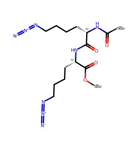 CCCCC(=O)N[C@@H](CCCCN=[N+]=[N-])C(=O)N[C@@H](CCCCN=[N+]=[N-])C(=O)OC(C)(C)C